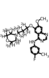 [2H]C1([2H])OC([2H])([2H])C([2H])([2H])N(C([2H])([2H])C([2H])([2H])C([2H])([2H])Oc2cc3c(Nc4ccc(F)c(C)c4)ncnc3cc2OC)C1([2H])[2H]